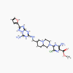 COC(=O)c1nc(Cl)c(N2CCN3CC(CNc4nc(N)n5nc(-c6ccco6)nc5n4)CCC3C2)nc1N